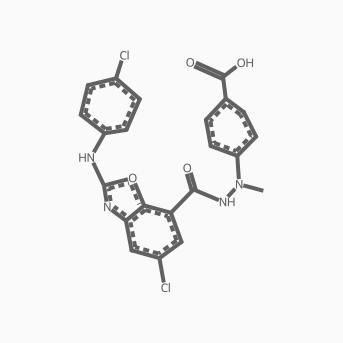 CN(NC(=O)c1cc(Cl)cc2nc(Nc3ccc(Cl)cc3)oc12)c1ccc(C(=O)O)cc1